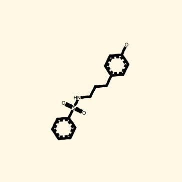 [O]c1ccc(CCCNS(=O)(=O)c2ccccc2)cc1